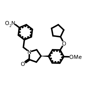 COc1ccc([C@H]2CC(=O)N(Cc3cccc([N+](=O)[O-])c3)C2)cc1OC1CCCC1